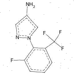 Nc1cnn(-c2c(F)cccc2C(F)(F)F)c1